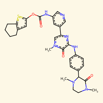 CN1CCN(C)C(c2ccc(Nc3nc(-c4cncc(NC(=O)Oc5cc6c(s5)CCCC6)c4)cn(C)c3=O)cc2)C1=O